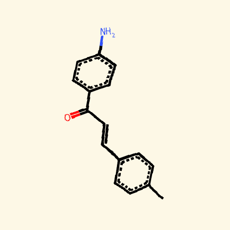 Cc1ccc(C=CC(=O)c2ccc(N)cc2)cc1